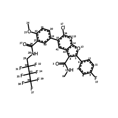 CNC(=O)c1c(-c2ccc(F)cc2)oc2nc(Cl)c(-c3ccc(OC)c(C(=O)NCC(F)(F)C(F)(F)C(F)(F)F)c3)cc12